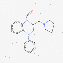 O=CN1c2ccccc2N(c2ccccc2)CC1CN1CCCC1